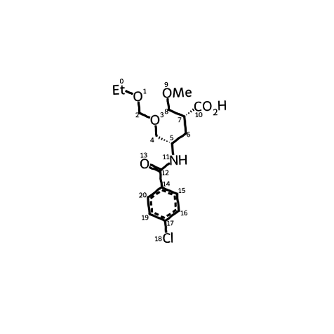 CCOCOC[C@H](C[C@H](COC)C(=O)O)NC(=O)c1ccc(Cl)cc1